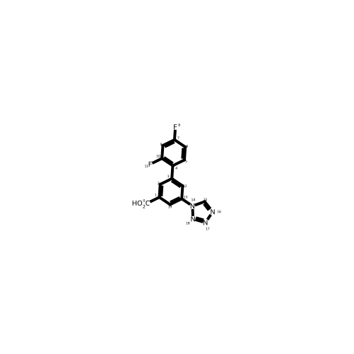 O=C(O)c1cc(-c2ccc(F)cc2F)cc(-n2cnnn2)c1